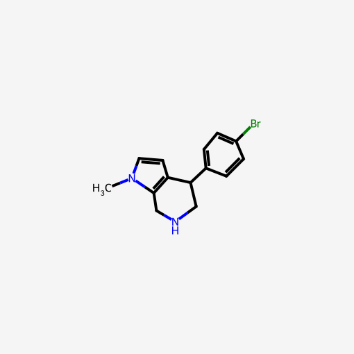 Cn1ccc2c1CNCC2c1ccc(Br)cc1